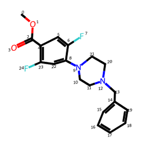 COC(=O)c1cc(F)c(N2CCN(Cc3ccccc3)CC2)cc1F